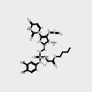 CCCCOC(=O)[C@H](C)NP(=O)(OC[C@H]1OC(n2ccc(=O)[nH]c2=O)=C(N=[N+]=[N-])[C@@H]1O)Oc1ccc(Cl)c(Cl)c1